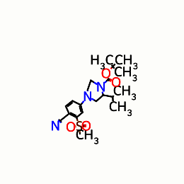 CC(C)C1CN(c2ccc(C#N)c(S(C)(=O)=O)c2)CCN1C(=O)OC(C)(C)C